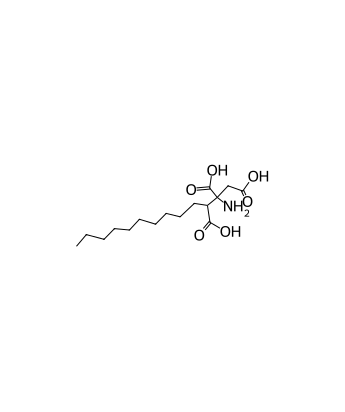 CCCCCCCCCCC(C(=O)O)C(N)(CC(=O)O)C(=O)O